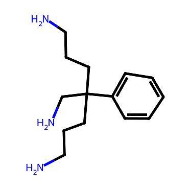 NCCCC(CN)(CCCN)c1ccccc1